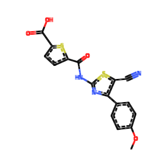 COc1ccc(-c2nc(NC(=O)c3ccc(C(=O)O)s3)sc2C#N)cc1